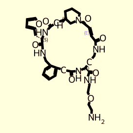 NCCOCCNC(=O)[C@@H]1CCNC(=O)/C=C/C(=O)N2CCC[C@@H](CC(=O)N[C@@H](Cc3ccco3)C(=O)NCc3ccccc3CC(=O)N1)C2